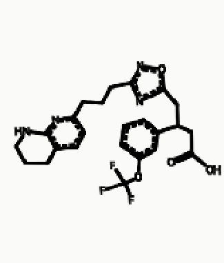 O=C(O)CC(Cc1nc(CCCc2ccc3c(n2)NCCC3)no1)c1cccc(OC(F)(F)F)c1